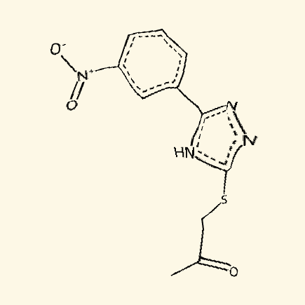 CC(=O)CSc1nnc(-c2cccc([N+](=O)[O-])c2)[nH]1